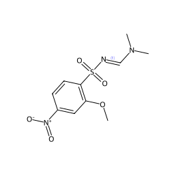 COc1cc([N+](=O)[O-])ccc1S(=O)(=O)/N=C/N(C)C